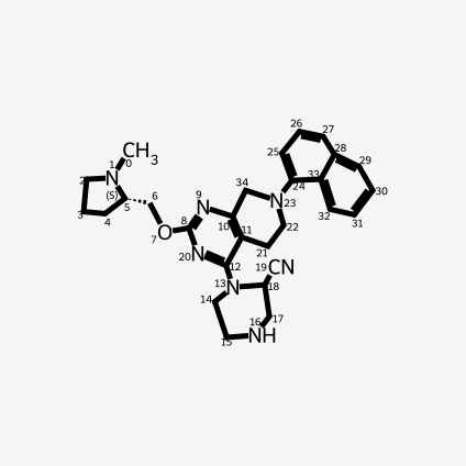 CN1CCC[C@H]1COc1nc2c(c(N3CCNCC3C#N)n1)CCN(c1cccc3ccccc13)C2